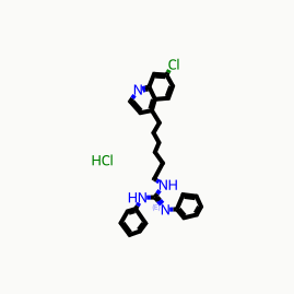 Cl.Clc1ccc2c(CCCCCCN/C(=N\c3ccccc3)Nc3ccccc3)ccnc2c1